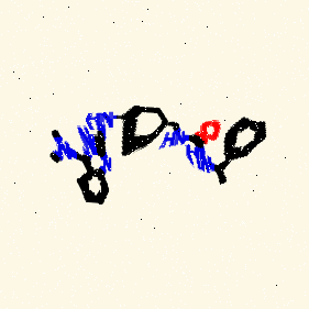 CC(NC(=O)NC[C@H]1CC[C@@H](Nc2nc(N(C)C)c3ccccc3n2)CC1)c1ccccc1